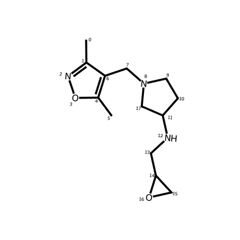 Cc1noc(C)c1CN1CCC(NCC2CO2)C1